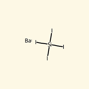 I[Si](I)(I)I.[Ba]